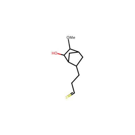 COC1C2CC(CCC=S)C(C2)C1O